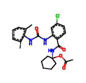 CC(=O)OC1(NC(=O)c2ccc(Cl)cc2NC(=O)Nc2c(C)cccc2C)CCCCC1